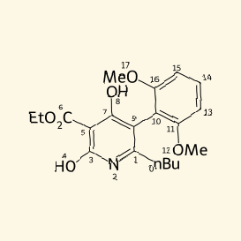 CCCCc1nc(O)c(C(=O)OCC)c(O)c1-c1c(OC)cccc1OC